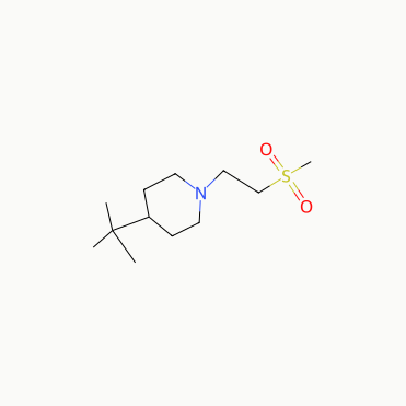 CC(C)(C)C1CCN(CCS(C)(=O)=O)CC1